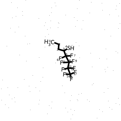 CCCC(S)C(F)(F)C(F)(F)C(F)(F)C(F)(F)F